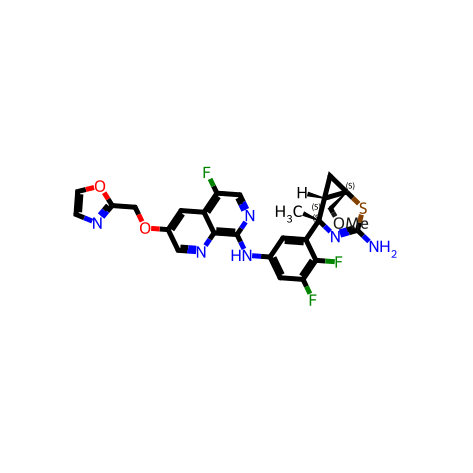 COC[C@]12C[C@H]1[C@@](C)(c1cc(Nc3ncc(F)c4cc(OCc5ncco5)cnc34)cc(F)c1F)N=C(N)S2